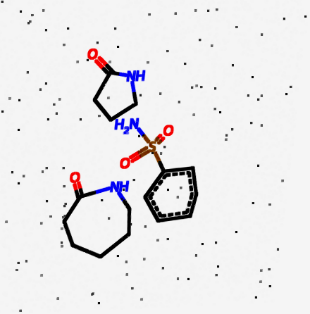 NS(=O)(=O)c1ccccc1.O=C1CCCCCN1.O=C1CCCN1